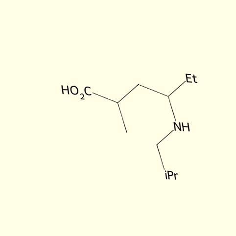 CCC(CC(C)C(=O)O)NCC(C)C